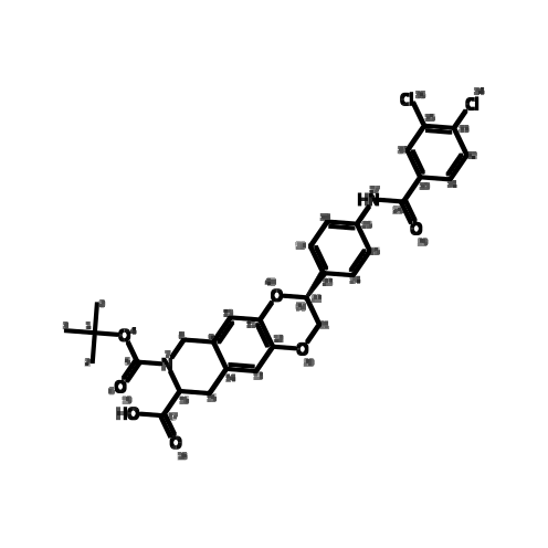 CC(C)(C)OC(=O)N1Cc2cc3c(cc2CC1C(=O)O)OC[C@H](c1ccc(NC(=O)c2ccc(Cl)c(Cl)c2)cc1)O3